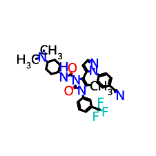 Cc1c(-c2ccnn2-c2ccc(C#N)cc2)n(C(=O)N[C@H]2CC[C@H](N(C)C)CC2)c(=O)n1-c1cccc(C(F)(F)F)c1